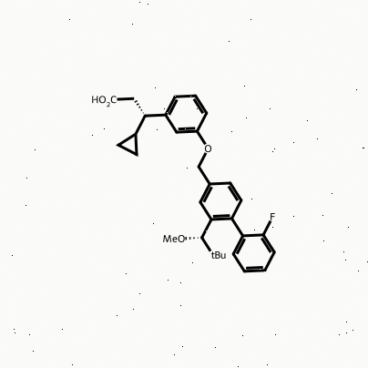 CO[C@H](c1cc(COc2cccc([C@@H](CC(=O)O)C3CC3)c2)ccc1-c1ccccc1F)C(C)(C)C